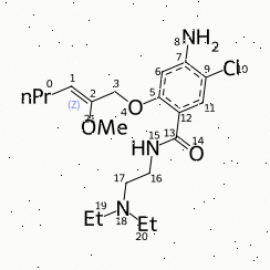 CCC/C=C(/COc1cc(N)c(Cl)cc1C(=O)NCCN(CC)CC)OC